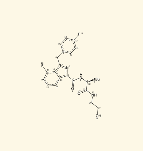 CC(C)(C)[C@H](NC(=O)c1nn(Cc2ccc(F)cc2)c2c(F)cccc12)C(=O)NCCO